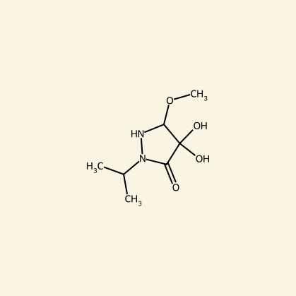 COC1NN(C(C)C)C(=O)C1(O)O